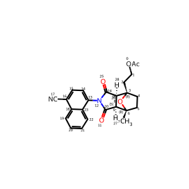 CC(=O)OCC[C@@]12CC[C@@](C)(O1)[C@H]1C(=O)N(c3ccc(C#N)c4ccccc34)C(=O)[C@H]12